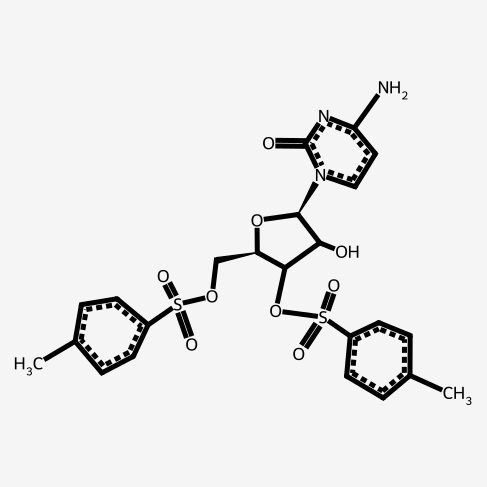 Cc1ccc(S(=O)(=O)OC[C@H]2O[C@@H](n3ccc(N)nc3=O)C(O)C2OS(=O)(=O)c2ccc(C)cc2)cc1